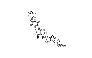 COC(=O)C[C@@H]1COc2cc(O[C@@H]3CCc4c(Oc5ccc(CC6CCOCC6)cc5)ccc(F)c43)ccc21